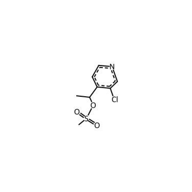 CC(OS(C)(=O)=O)c1ccncc1Cl